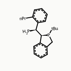 CCCc1ccccc1[C@H](P)[C@@H]1c2ccccc2CP1C(C)(C)C